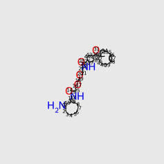 NC1CCCCCCCCC(CNC(=O)CCOCCOCCNC(=O)C2CCC(C(=O)C3CCCCCCCCCC3)CC2)C1